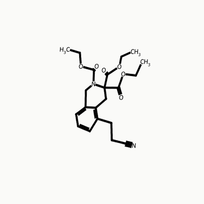 CCOC(=O)N1Cc2cccc(CCC#N)c2CC1(C(=O)OCC)C(=O)OCC